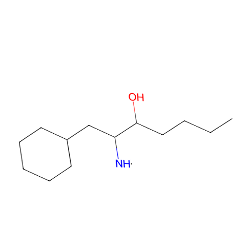 CCCCC(O)C([NH])CC1CCCCC1